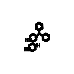 C1CNCCN1.c1ccc(C(c2ccccc2)N2CCNCC2)cc1